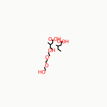 CCC(C)CC(=O)O.CCC(C)CC(=O)O.OCCOCCOCCO